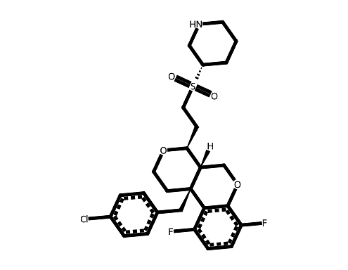 O=S(=O)(CC[C@@H]1OCC[C@@]2(Cc3ccc(Cl)cc3)c3c(F)ccc(F)c3OC[C@@H]12)[C@H]1CCCNC1